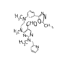 Cc1nnc(-c2cccc(N(C)CCN(C)c3nc(N(C)Cc4ccccn4)ncc3C=O)c2)o1